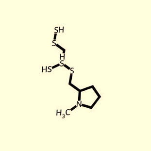 CN1CCCC1CS[SH](S)CSS